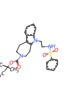 CC(C)(C)OC(=O)N1CCc2c(n(CCNS(=O)(=O)c3ccccc3)c3ccccc23)CC1